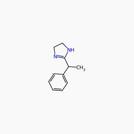 CC(C1=NCCN1)c1[c]cccc1